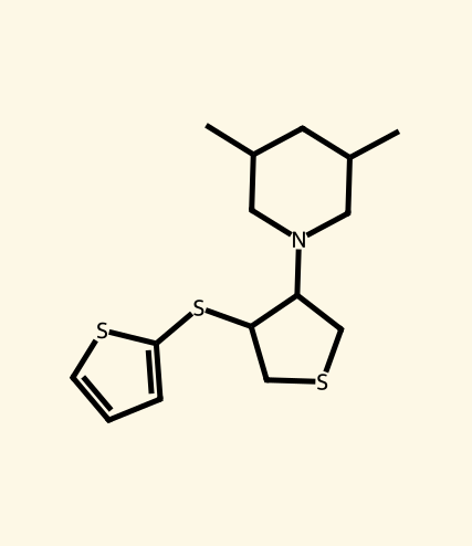 CC1CC(C)CN(C2CSCC2Sc2cccs2)C1